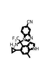 Cc1cc(C2CC2)c(C(N)(n2cnc3cc(C#N)ccc32)C(F)(F)F)c2cc[nH]c12